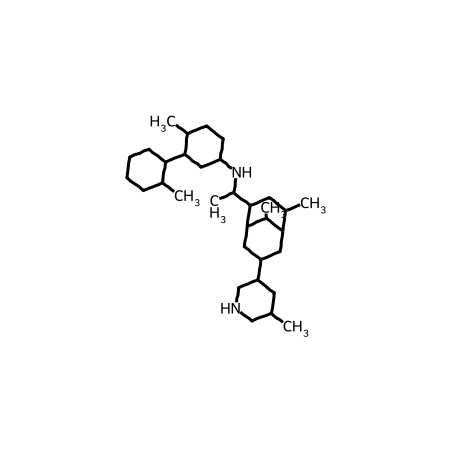 CC1CNCC(C2CC3C(C)CC(C(C)NC4CCC(C)C(C5CCCCC5C)C4)C(C2)C3C)C1